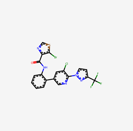 O=C(Nc1ccccc1-c1cnc(-n2ccc(C(F)(F)F)n2)c(Cl)c1)c1ncsc1Br